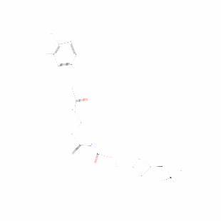 C=C(CCNC(=O)COc1ccc(Cl)c(F)c1)NC(=O)OC[C@H]1C[C@H](OC(F)(F)F)C1